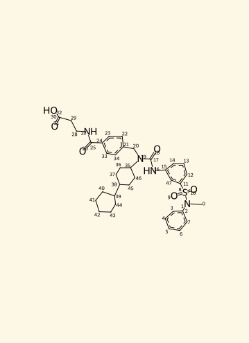 CN(c1ccccc1)S(=O)(=O)c1cccc(NC(=O)N(Cc2ccc(C(=O)NCCC(=O)O)cc2)C2CCC(C3CCCCC3)CC2)c1